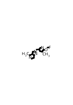 Cc1cc(Cn2cc3c(C)nccc3n2)cnc1OCF